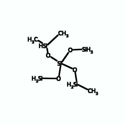 C[SiH2]O[Si](O[SiH3])(O[SiH3])O[SiH](C)C